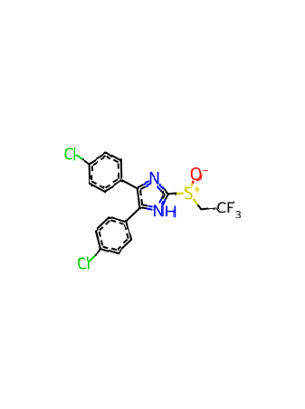 [O-][S+](CC(F)(F)F)c1nc(-c2ccc(Cl)cc2)c(-c2ccc(Cl)cc2)[nH]1